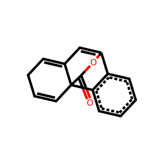 O=C1OC2=CC3=CCC=CC13c1ccccc12